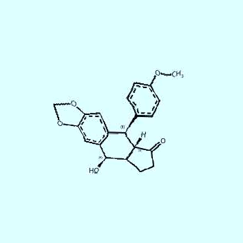 COc1ccc([C@@H]2c3cc4c(cc3[C@H](O)C3CCC(=O)[C@H]32)OCO4)cc1